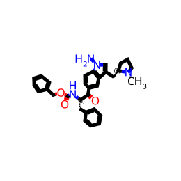 CN1CCC[C@@H]1Cc1cn(N)c2ccc(C(=O)[C@H](Cc3ccccc3)NC(=O)OCc3ccccc3)cc12